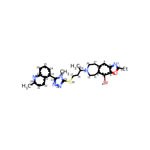 CCc1nc2cc3c(c(Br)c2o1)CCN(C(C)CCSc1nnc(-c2cccc4nc(C)ccc24)n1C)CC3